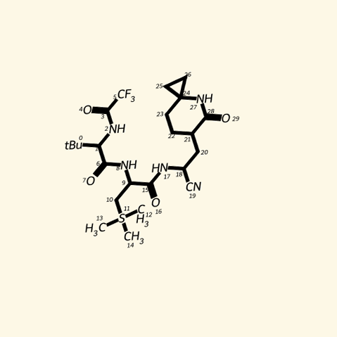 CC(C)(C)C(NC(=O)C(F)(F)F)C(=O)NC(CS(C)(C)C)C(=O)NC(C#N)CC1CCC2(CC2)NC1=O